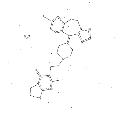 Cc1nc2n(c(=O)c1CCN1CCC(=C3c4ccc(F)cc4CCn4ncnc43)CC1)CCS2.O